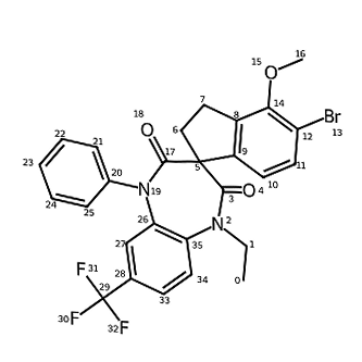 CCN1C(=O)C2(CCc3c2ccc(Br)c3OC)C(=O)N(c2ccccc2)c2cc(C(F)(F)F)ccc21